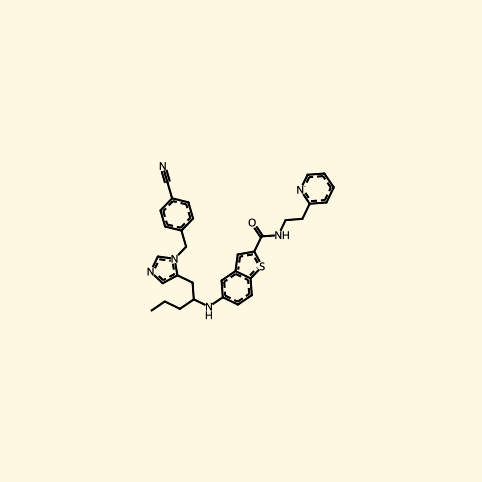 CCCC(Cc1cncn1Cc1ccc(C#N)cc1)Nc1ccc2sc(C(=O)NCCc3ccccn3)cc2c1